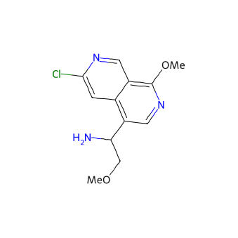 COCC(N)c1cnc(OC)c2cnc(Cl)cc12